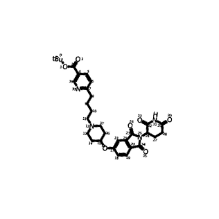 CC(C)(C)OC(=O)c1ccc(CCCCN2CCC(Oc3ccc4c(c3)C(=O)N(C3CCC(=O)NC3=O)C4=O)CC2)nc1